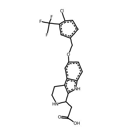 O=C(O)CC1NCCc2c1[nH]c1ccc(OCc3ccc(Cl)c(C(F)(F)F)c3)cc21